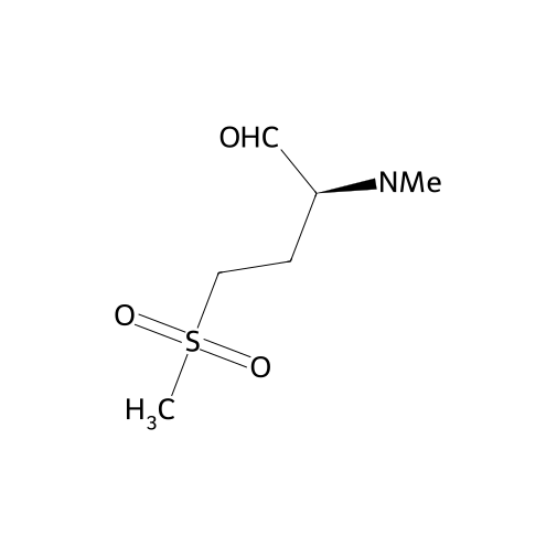 CN[C@H](C=O)CCS(C)(=O)=O